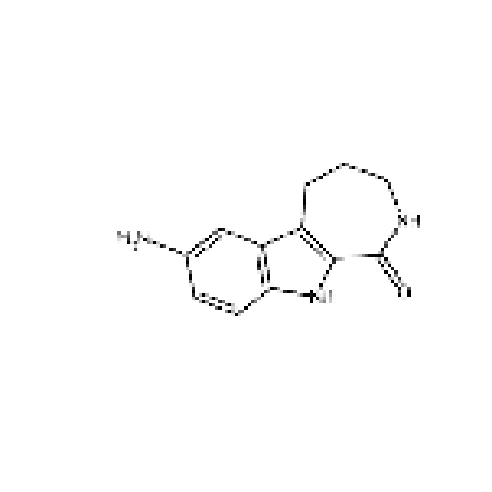 Nc1ccc2[nH]c3c(c2c1)CCCNC3=O